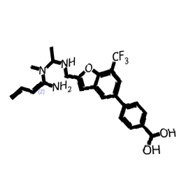 C=C/C=C(/N)N(C)C(C)NCc1cc2cc(-c3ccc(C(O)O)cc3)cc(C(F)(F)F)c2o1